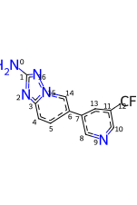 Nc1nc2ccc(-c3cncc(C(F)(F)F)c3)cn2n1